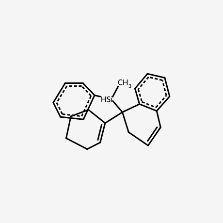 C[SiH](c1ccccc1)C1(C2=CCCCC2)CC=Cc2ccccc21